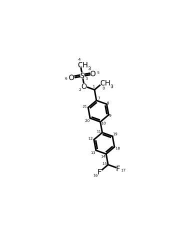 CC(OS(C)(=O)=O)c1ccc(-c2ccc(C(F)F)cc2)cc1